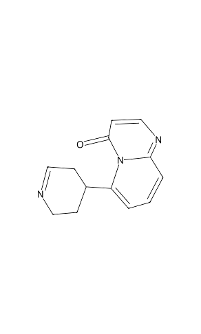 O=c1ccnc2cccc(C3CC=NCC3)n12